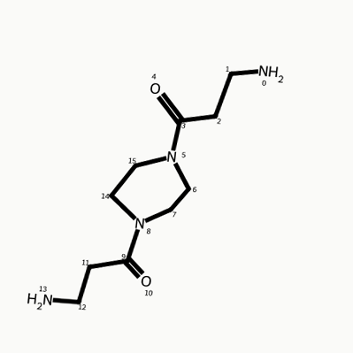 NCCC(=O)N1CCN(C(=O)CCN)CC1